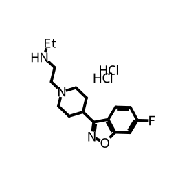 CCNCCN1CCC(c2noc3cc(F)ccc23)CC1.Cl.Cl